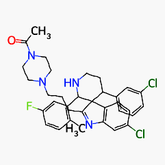 CC(=O)N1CCN(CCCC2=Nc3cc(Cl)ccc3C23C(c2cccc(Cl)c2)CCNC3c2cc(F)ccc2C)CC1